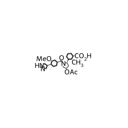 COc1cc(C(=O)N2CC(OC(C)=O)C[C@@H]2c2cccc(C(=O)O)c2C)ccc1-c1cn[nH]c1